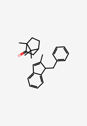 CC12CCC(CC1=O)C2(C)C.CC1=Cc2ccccc2C1Cc1ccccc1